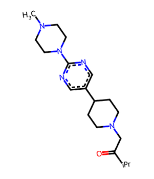 CC(C)C(=O)CN1CCC(c2cnc(N3CCN(C)CC3)nc2)CC1